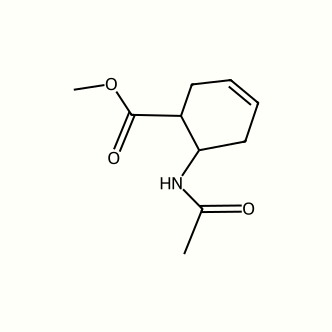 COC(=O)C1CC=CCC1NC(C)=O